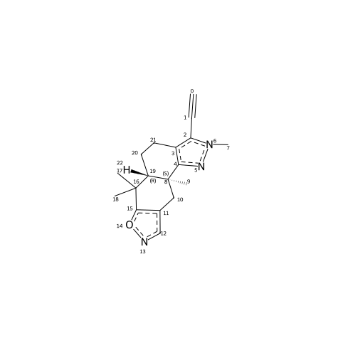 C#Cc1c2c(nn1C)[C@@]1(C)Cc3cnoc3C(C)(C)[C@@H]1CC2